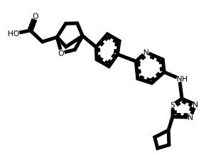 O=C(O)CC12CCC(c3ccc(-c4ccc(Nc5nnc(C6CCC6)s5)cn4)cc3)(CO1)C2